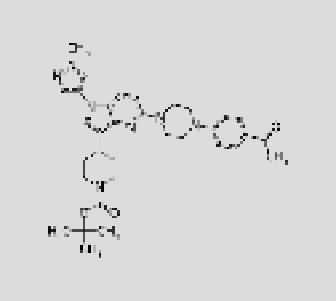 CC(=O)c1ccc(N2CCN(c3ccc4c(n3)c(C3CCN(C(=O)OC(C)(C)C)CC3)cn4-c3cnn(C)c3)CC2)cc1